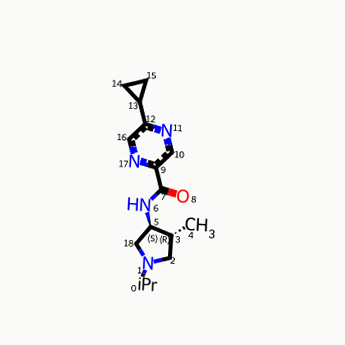 CC(C)N1C[C@@H](C)[C@H](NC(=O)c2cnc(C3CC3)cn2)C1